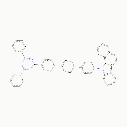 c1ccc(-c2nc(-c3ccccc3)nc(-c3ccc(-c4ccc(-c5ccc(-n6c7ccccc7c7ccc8ccccc8c76)cc5)cc4)cc3)n2)cc1